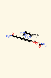 NC(=O)CCCCCCCCCCOOOOC(N)=O.NC(Cc1c[nH]cn1)C(=O)O